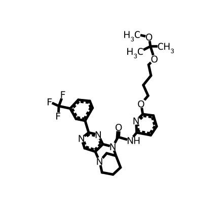 COC(C)(C)OCCCCOc1cccc(NC(=O)N2c3nc(-c4cccc(C(F)(F)F)c4)ncc3N3CCCC2C3)n1